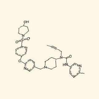 CC#CCN(C(=O)Nc1ccc(C)nc1)C1CCN(Cc2ccc(Oc3ccc(S(=O)(=O)N4CCC(O)CC4)cc3)nc2)CC1